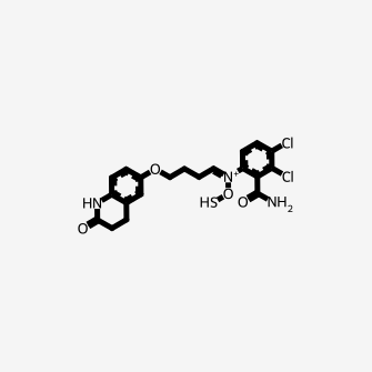 NC(=O)c1c([N+](=CCCCOc2ccc3c(c2)CCC(=O)N3)OS)ccc(Cl)c1Cl